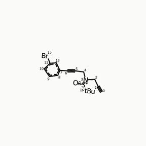 C#CCN(CC#Cc1cccc(Br)c1)[S+]([O-])C(C)(C)C